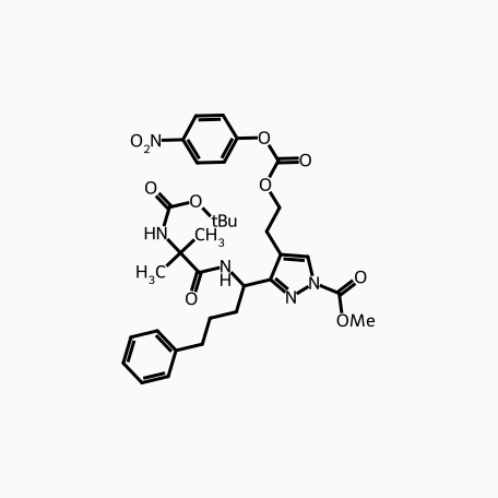 COC(=O)n1cc(CCOC(=O)Oc2ccc([N+](=O)[O-])cc2)c(C(CCCc2ccccc2)NC(=O)C(C)(C)NC(=O)OC(C)(C)C)n1